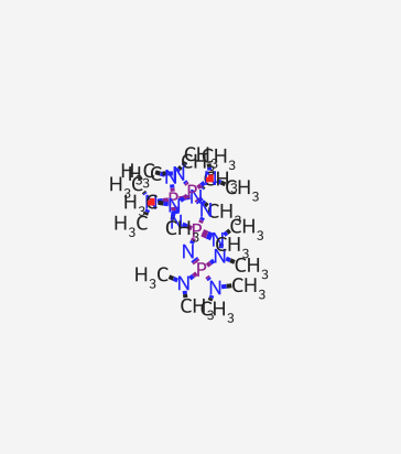 CN=P(N=P(N(C)C)(N(C)C)N(C)C)(N=P(N(C)C)(N(C)C)N(C)C)N=P(N(C)C)(N(C)C)N(C)C